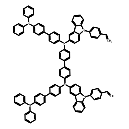 C=Cc1ccc(-n2c3ccccc3c3cc(N(c4ccc(-c5ccc(N(c6ccccc6)c6ccccc6)cc5)cc4)c4ccc(-c5ccc(N(c6ccc(-c7ccc(N(c8ccccc8)c8ccccc8)cc7)cc6)c6ccc7c(c6)c6ccccc6n7-c6ccc(C=C)cc6)cc5)cc4)ccc32)cc1